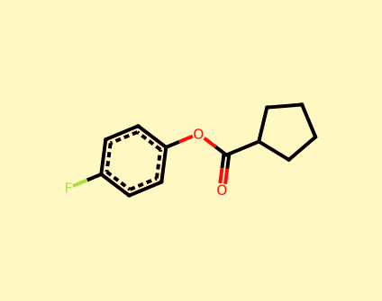 O=C(Oc1ccc(F)cc1)C1CCCC1